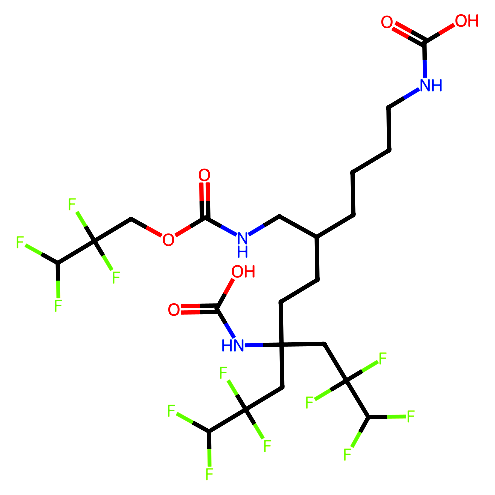 O=C(O)NCCCCC(CCC(CC(F)(F)C(F)F)(CC(F)(F)C(F)F)NC(=O)O)CNC(=O)OCC(F)(F)C(F)F